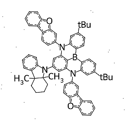 CC(C)(C)c1ccc2c(c1)N(c1ccc3c(c1)oc1ccccc13)c1cc(N3c4ccccc4C4(C)CCCCC34C)cc3c1B2c1ccc(C(C)(C)C)cc1N3c1ccc2oc3ccccc3c2c1